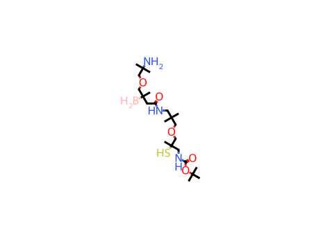 BC(C)(COCC(C)(C)N)CC(=O)NCC(C)(C)COCC(C)(S)CNC(=O)OC(C)(C)C